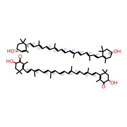 CC1=C(/C=C/C(C)=C/C=C/C(C)=C/C=C/C=C(C)/C=C/C=C(C)/C=C/C2=C(C)C(=O)C(O)CC2(C)C)C(C)(C)CC(O)C1=O.CC1=C[C@H](O)CC(C)(C)[C@H]1/C=C/C(C)=C/C=C/C(C)=C/C=C/C=C(C)/C=C/C=C(C)/C=C/C1=C(C)C[C@@H](O)CC1(C)C